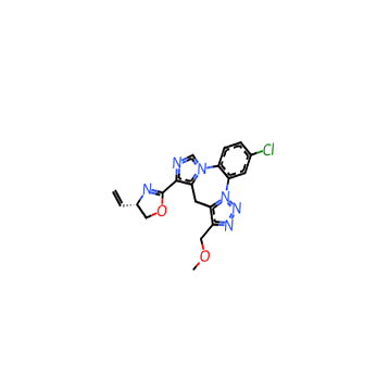 C=C[C@H]1COC(c2ncn3c2Cc2c(COC)nnn2-c2cc(Cl)ccc2-3)=N1